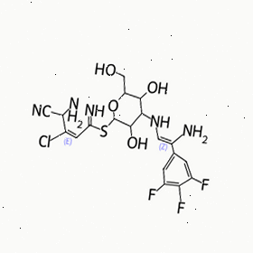 N#CC(N)/C(Cl)=C\C(=N)SC1OC(CO)C(O)C(N/C=C(\N)c2cc(F)c(F)c(F)c2)C1O